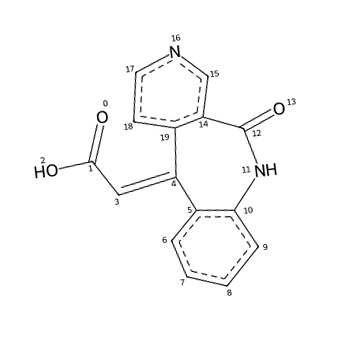 O=C(O)/C=C1/c2ccccc2NC(=O)c2cnccc21